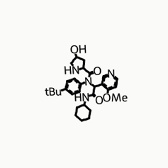 COc1ccncc1C(C(=O)NC1CCCCC1)N(C(=O)C1CC(O)CN1)c1ccc(C(C)(C)C)cc1